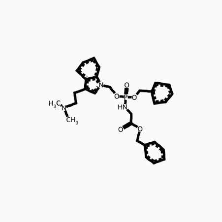 CN(C)CCc1cn(COP(=O)(NCC(=O)OCc2ccccc2)OCc2ccccc2)c2ccccc12